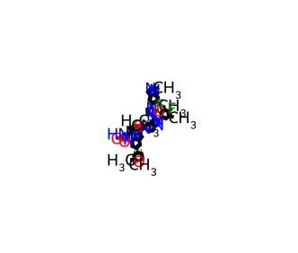 Cc1cc(-n2nc3c(c2-n2ccn(-c4cc5cnn(C)c5cc4F)c2=O)[C@H](C)N(C(=O)c2cc4cc([C@H]5CCOC(C)(C)C5)ccc4n2[C@@]2(c4noc(=O)[nH]4)C[C@@H]2C)CC3)cc(C)c1F